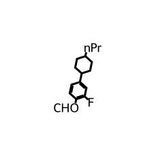 CCCC1CCC(c2ccc(C=O)c(F)c2)CC1